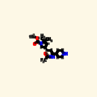 CC(C)(C)OC(=O)N1C[C@@H](CCC(NC(=O)C(F)(F)F)C2CCNCC2)CC1(C)C